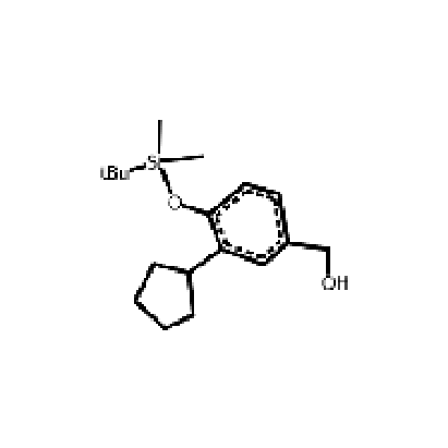 CC(C)(C)[Si](C)(C)Oc1ccc(CO)cc1C1CCCC1